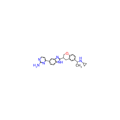 CC(NC1CC1)c1ccc2c(c1)CC(c1nc3cc(-c4ccnc(N)n4)ccc3[nH]1)CO2